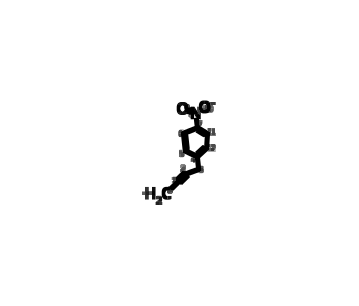 [CH2]C#CCc1ccc([N+](=O)[O-])cc1